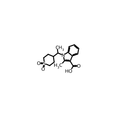 Cc1c(C(=O)O)c2ccccc2n1C(C)C1CCS(=O)(=O)CC1